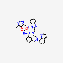 Cc1ncnc(C)c1OC(=O)NCc1cccc(CN(CCNCc2nc3ccccc3[nH]2)C2CCCc3cccnc32)c1